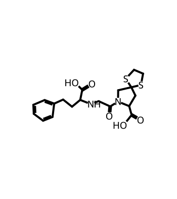 O=C(O)C(CCc1ccccc1)NCC(=O)N1CC2(CC1C(=O)O)SCCS2